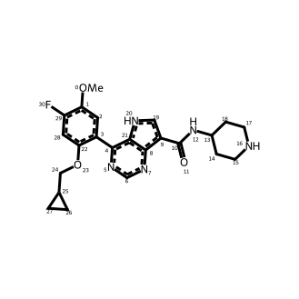 COc1cc(-c2ncnc3c(C(=O)NC4CCNCC4)c[nH]c23)c(OCC2CC2)cc1F